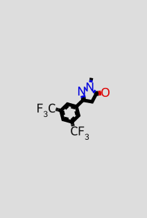 CN1N=C(c2cc(C(F)(F)F)cc(C(F)(F)F)c2)CC1=O